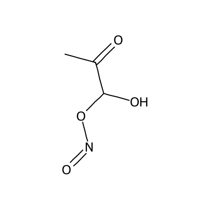 CC(=O)C(O)ON=O